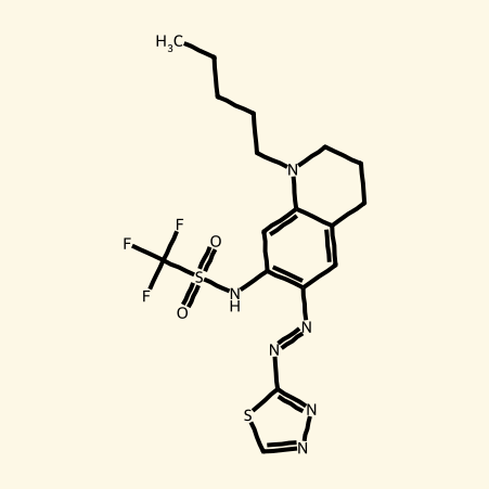 CCCCCN1CCCc2cc(N=Nc3nncs3)c(NS(=O)(=O)C(F)(F)F)cc21